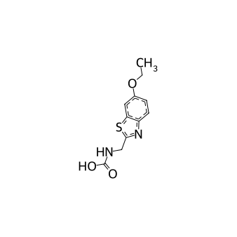 CCOc1ccc2nc(CNC(=O)O)sc2c1